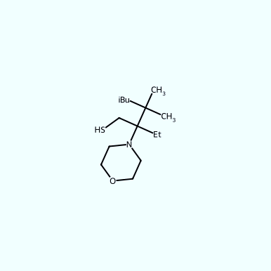 CCC(C)C(C)(C)C(CC)(CS)N1CCOCC1